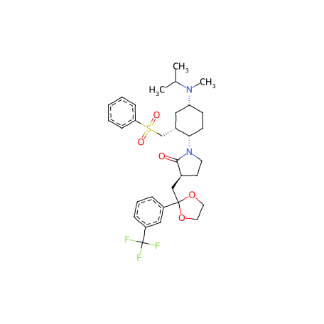 CC(C)N(C)[C@@H]1CC[C@H](N2CC[C@@H](CC3(c4cccc(C(F)(F)F)c4)OCCO3)C2=O)[C@H](CS(=O)(=O)c2ccccc2)C1